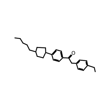 CCCCCC1CCC(c2ccc(C(=O)Cc3ccc(CC)cc3)cc2)CC1